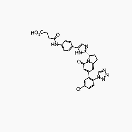 O=C(O)CCC(=O)Nc1ccc(-c2cnc([C@@H]3CCc4cc(-c5cc(Cl)ccc5-n5cnnn5)cc(=O)n43)[nH]2)cc1